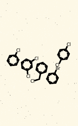 Brc1ccccc1.ClCc1ccccc1.Clc1ccc(Cl)cc1.Clc1cccc(Cl)c1.Clc1ccccc1